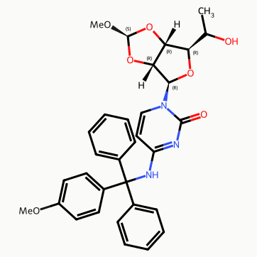 COc1ccc(C(Nc2ccn([C@@H]3O[C@H](C(C)O)[C@H]4O[C@H](OC)O[C@H]43)c(=O)n2)(c2ccccc2)c2ccccc2)cc1